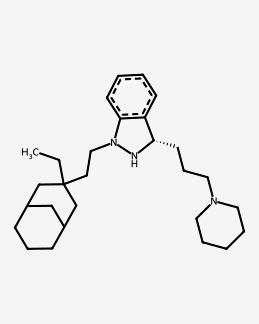 CCC1(CCN2N[C@@H](CCCN3CCCCC3)c3ccccc32)CC2CCCC(C2)C1